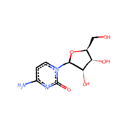 Nc1ccn(C2O[C@@H](CO)[C@H](O)[C@@H]2O)c(=O)n1